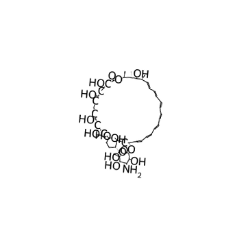 CC1OC(O[C@H]2/C=C/C=C/C=C/C=C/C=C/C=C/C=C/[C@H](C)[C@@H](O)[C@@H](C)[C@H](C)OC(=O)C[C@H](O)C[C@H](O)CCC[C@H](O)C[C@H](O)C[C@]3(O)CC[C@@H](C(=O)O)[C@H](C2)O3)C(O)C(N)C1O